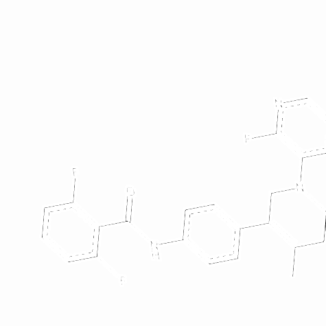 CC1=C(c2ccc(NC(=O)c3c(F)cccc3F)cc2)CN(c2nccnc2F)CC1